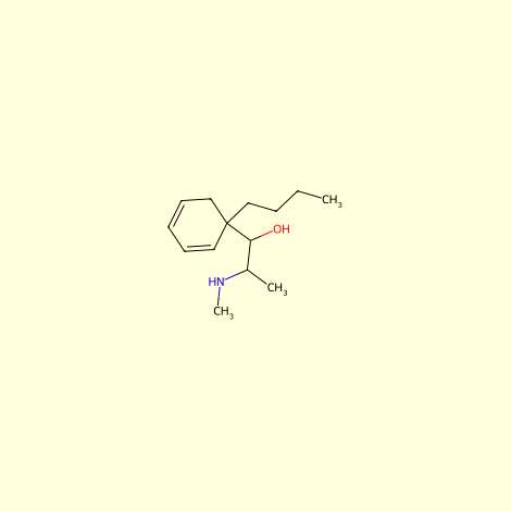 CCCCC1(C(O)C(C)NC)C=CC=CC1